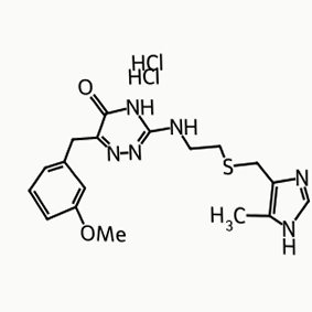 COc1cccc(Cc2nnc(NCCSCc3nc[nH]c3C)[nH]c2=O)c1.Cl.Cl